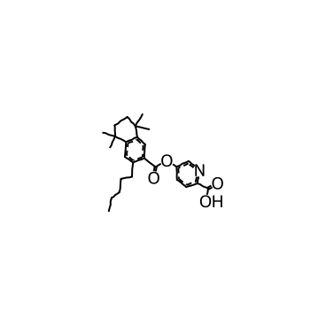 CCCCCc1cc2c(cc1C(=O)Oc1ccc(C(=O)O)nc1)C(C)(C)CCC2(C)C